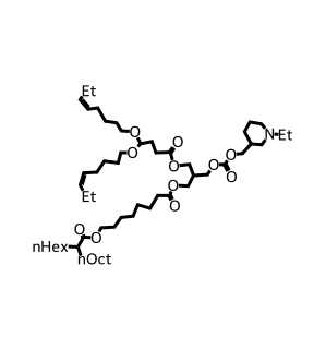 CC/C=C\CCCCOC(CCC(=O)OCC(COC(=O)CCCCCCCOC(=O)C(CCCCCC)CCCCCCCC)COC(=O)OCC1CCCN(CC)C1)OCCCC/C=C\CC